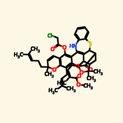 COC(=O)/C(C)=C\CC12OC(C)(C)C3CC(C1=O)C1Sc4ccccc4NC4=C1C32Oc1c(CC=C(C)C)c2c(c(OC(=O)CCl)c14)C=CC(C)(CCC=C(C)C)O2